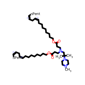 CCCCC/C=C\C/C=C\CCCCCCCCOC(=O)CCN(CCC(=O)OCCCCCCCC/C=C\C/C=C\CCCCC)CC(C)(C)N1CCN(C)CC1